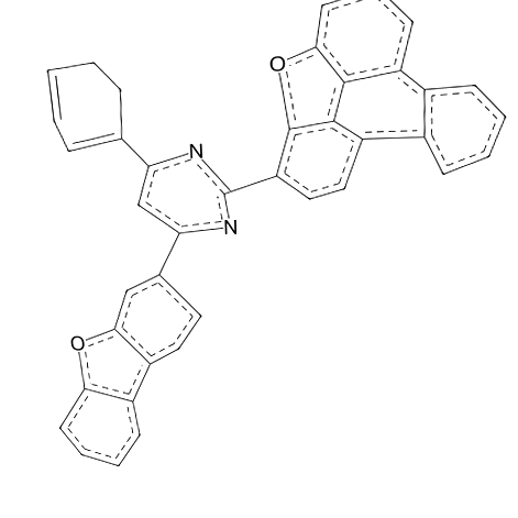 C1=CCCC(c2cc(-c3ccc4c(c3)oc3ccccc34)nc(-c3ccc4c5ccccc5c5cccc6oc3c4c65)n2)=C1